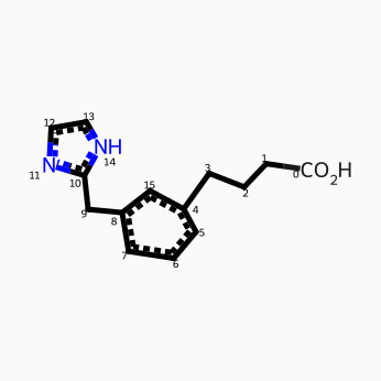 O=C(O)CCCc1cccc(Cc2ncc[nH]2)c1